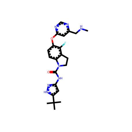 CNCc1cc(Oc2ccc3c(c2F)CCN3C(=O)Nc2cc(C(C)(C)C)[nH]n2)ncn1